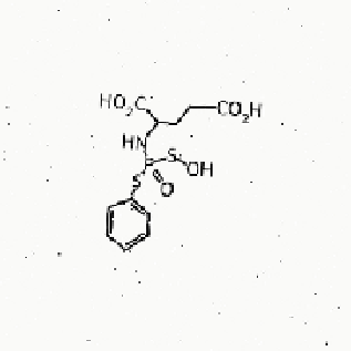 O=C(O)CCC(NP(=O)(SO)Sc1ccccc1)C(=O)O